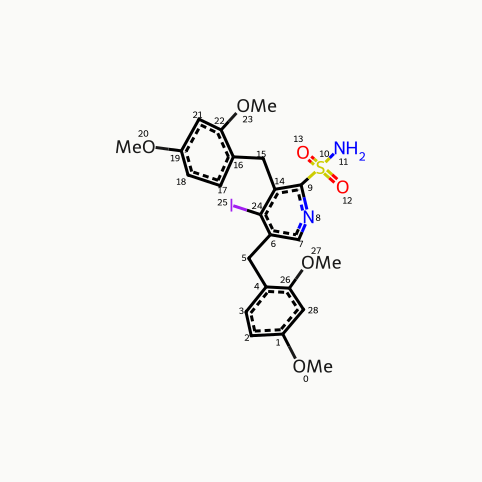 COc1ccc(Cc2cnc(S(N)(=O)=O)c(Cc3ccc(OC)cc3OC)c2I)c(OC)c1